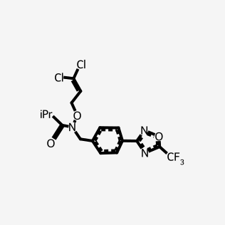 CC(C)C(=O)N(Cc1ccc(-c2noc(C(F)(F)F)n2)cc1)OCC=C(Cl)Cl